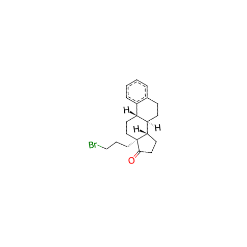 O=C1CC[C@H]2[C@@H]3CCc4ccccc4[C@H]3CC[C@]12CCCBr